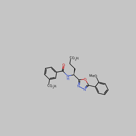 COc1ccccc1-c1nnc([C@H](CCC(=O)O)NC(=O)c2cccc(C(=O)O)c2)o1